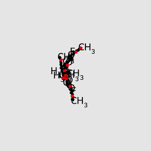 CCCCCCCCC(CC(Oc1ccc(C(=O)Oc2ccc(OCC(F)CCCCCC)cc2)cc1)[Si](C)(C)O[SiH](C)C)Oc1ccc(C(=O)Oc2ccc(OCC(F)CCCCCC)cc2)cc1